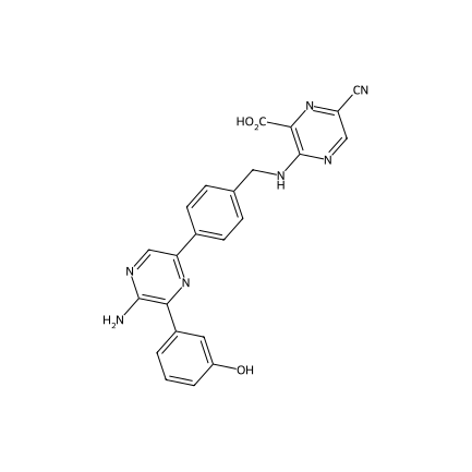 N#Cc1cnc(NCc2ccc(-c3cnc(N)c(-c4cccc(O)c4)n3)cc2)c(C(=O)O)n1